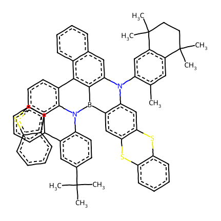 Cc1cc2c(cc1N1c3cc4c(cc3B3c5c1cc1ccccc1c5-c1ccc5sc6ccccc6c5c1N3c1ccc(C(C)(C)C)cc1-c1ccccc1)Sc1ccccc1S4)C(C)(C)CCC2(C)C